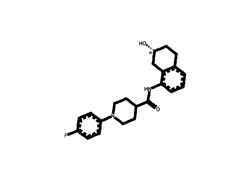 O=C(Nc1cccc2c1C[C@H](O)CC2)C1CCN(c2ccc(F)cc2)CC1